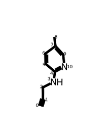 C#CCNc1ccc(C)cn1